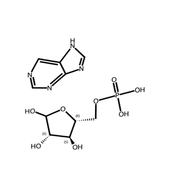 O=P(O)(O)OC[C@H]1OC(O)[C@@H](O)[C@@H]1O.c1ncc2[nH]cnc2n1